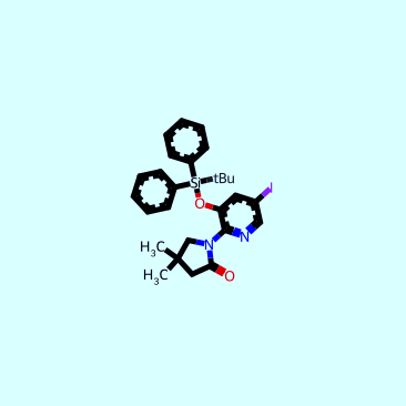 CC1(C)CC(=O)N(c2ncc(I)cc2O[Si](c2ccccc2)(c2ccccc2)C(C)(C)C)C1